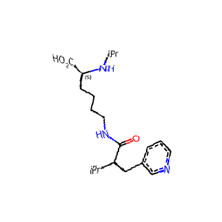 CC(C)N[C@@H](CCCCNC(=O)C(Cc1cccnc1)C(C)C)C(=O)O